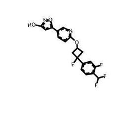 Oc1cc(-c2ccc(OC3CC(F)(c4ccc(C(F)F)c(F)c4)C3)nc2)on1